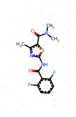 Cc1nc(NC(=O)c2c(F)cccc2F)sc1C(=O)N(C)C